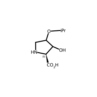 CC(C)OC1CN[C@H](C(=O)O)C1O